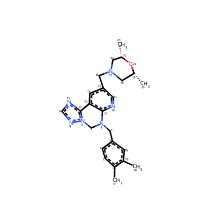 Cc1ccc(CN2Cn3ncnc3-c3cc(CN4C[C@@H](C)O[C@@H](C)C4)cnc32)cc1C